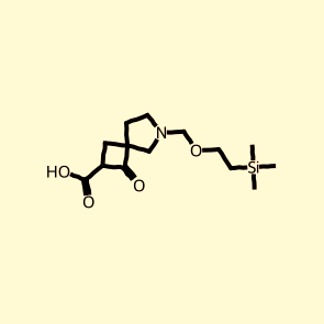 C[Si](C)(C)CCOCN1CCC2(CC(C(=O)O)C2=O)C1